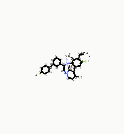 C=Cc1c(F)cc2c(c1CCCC)N/C(c1cccc(-c3ccc(F)cc3)c1)=C\N1C=CC(CC)=C2C1C